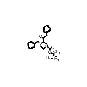 CC(C)(C)OC(=O)N1CCN(Cc2ccccc2)C(C(=O)Cc2ccccc2)C1